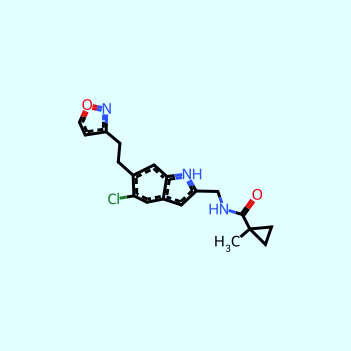 CC1(C(=O)NCc2cc3cc(Cl)c(CCc4ccon4)cc3[nH]2)CC1